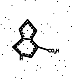 O=C(O)c1c[nH]cc2cccc1-2